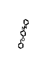 c1ccc(COc2ccc(N=Nc3ccccc3)cc2)cc1